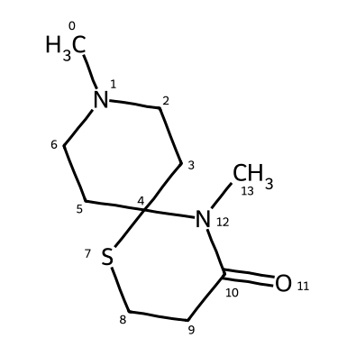 CN1CCC2(CC1)SCCC(=O)N2C